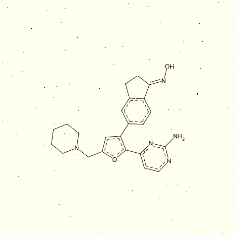 Nc1nccc(-c2oc(CN3CCCCC3)cc2-c2ccc3c(c2)CCC3=NO)n1